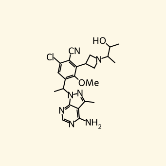 COc1c(C(C)n2nc(C)c3c(N)ncnc32)cc(Cl)c(C#N)c1C1CN(C(C)C(C)O)C1